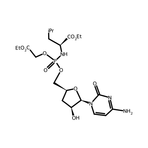 CCOC(=O)COP(=O)(N[C@@H](CC(C)C)C(=O)OCC)OC[C@@H]1C[C@H](O)[C@H](n2ccc(N)nc2=O)O1